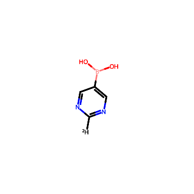 [2H]c1ncc(B(O)O)cn1